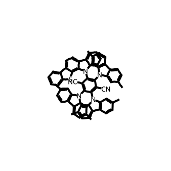 Cc1ccc2c3ccc(C)cc3n(-c3c(C#N)c(-n4c5cc(C)ccc5c5ccc(C)cc54)c(-n4c5ccccc5c5ccc6c7ccccc7sc6c54)c(C#N)c3-n3c4cc(C)ccc4c4ccc(C)cc43)c2c1